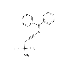 CC(C)(C)CC#CO[SiH](c1ccccc1)c1ccccc1